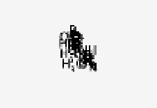 COc1nc(N[C@H](C)c2cc3ccc(F)c(Cl)c3[nH]c2=O)ncc1C#N